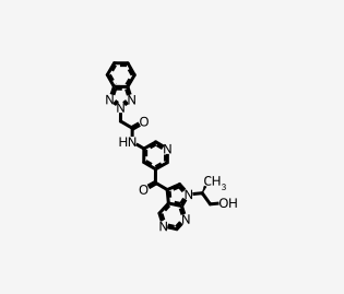 C[C@@H](CO)n1cc(C(=O)c2cncc(NC(=O)Cn3nc4ccccc4n3)c2)c2cncnc21